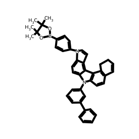 CC1(C)OB(c2ccc(-n3ccc4c5c6c7c(ccc6n(-c6cccc(-c8ccccc8)c6)c5ccc43)C=CCC7)cc2)OC1(C)C